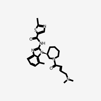 Cc1ncc(C(=O)Nc2nc3cccc(C)c3n2[C@H]2CCCCN(C(=O)C=CCN(C)C)C2)s1